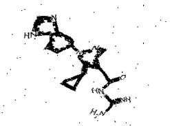 N=C(N)NC(=O)c1cnn(-c2ccc3[nH]cnc3c2)c1C1CC1